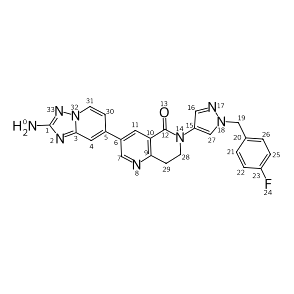 Nc1nc2cc(-c3cnc4c(c3)C(=O)N(c3cnn(Cc5ccc(F)cc5)c3)CC4)ccn2n1